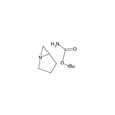 C1CC2CN2C1.CC(C)(C)OC(N)=O